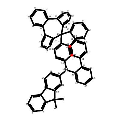 CC1(C)c2ccccc2-c2ccc(N(c3ccc4c(c3)-c3ccccc3C43c4ccccc4-c4ccccc4-c4ccccc43)c3ccccc3-c3ccccc3)cc21